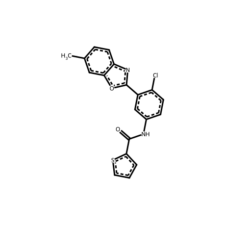 Cc1ccc2nc(-c3cc(NC(=O)c4cccs4)ccc3Cl)oc2c1